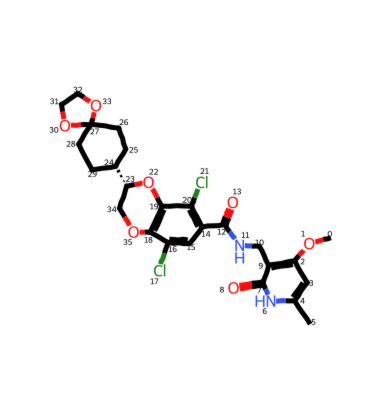 COc1cc(C)[nH]c(=O)c1CNC(=O)c1cc(Cl)c2c(c1Cl)O[C@@H](C1CCC3(CC1)OCCO3)CO2